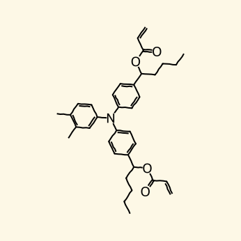 C=CC(=O)OC(CCCC)c1ccc(N(c2ccc(C(CCCC)OC(=O)C=C)cc2)c2ccc(C)c(C)c2)cc1